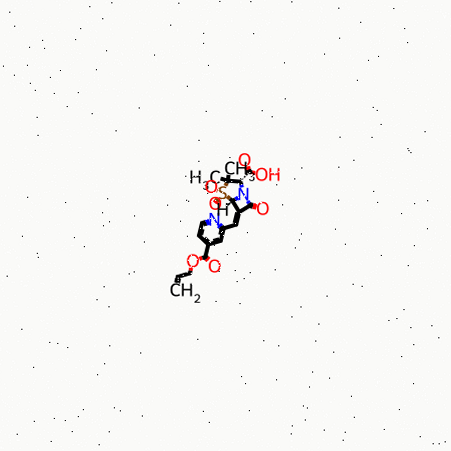 C=CCOC(=O)c1ccnc(/C=C2/C(=O)N3[C@@H](C(=O)O)C(C)(C)S(=O)(=O)[C@H]23)c1